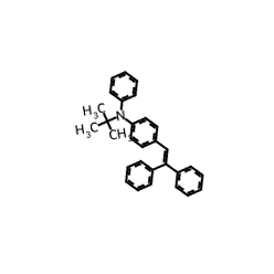 CC(C)(C)N(c1ccccc1)c1ccc(C=C(c2ccccc2)c2ccccc2)cc1